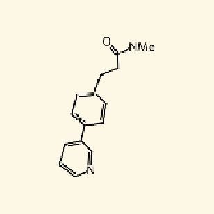 CNC(=O)CCc1ccc(-c2cccnc2)cc1